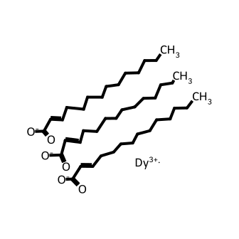 CCCCCCCCCCCC=CC(=O)[O-].CCCCCCCCCCCC=CC(=O)[O-].CCCCCCCCCCCC=CC(=O)[O-].[Dy+3]